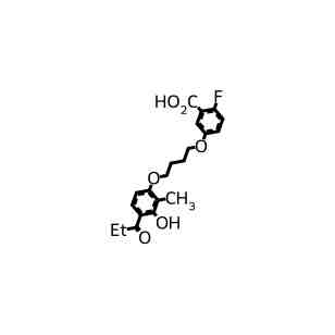 CCC(=O)c1ccc(OCCCCOc2ccc(F)c(C(=O)O)c2)c(C)c1O